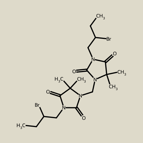 CCC(Br)CN1C(=O)N(CN2C(=O)N(CC(Br)CC)C(=O)C2(C)C)C(C)(C)C1=O